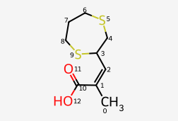 CC(=CC1CSCCCS1)C(=O)O